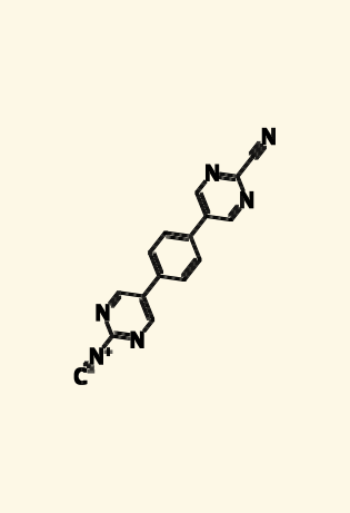 [C-]#[N+]c1ncc(-c2ccc(-c3cnc(C#N)nc3)cc2)cn1